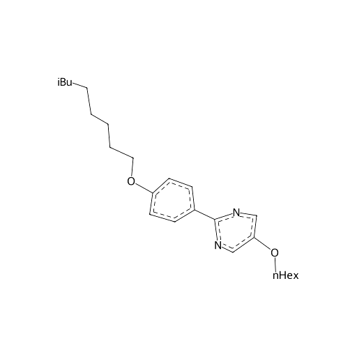 CCCCCCOc1cnc(-c2ccc(OCCCCCC(C)CC)cc2)nc1